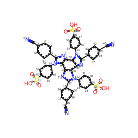 N#Cc1ccc(-c2nc3c(c4nc(-c5ccc(C#N)cc5)n(-c5ccc(S(=O)(=O)O)cc5)c4c4nc(-c5ccc(C#N)cc5)n(-c5ccc(S(=O)(=O)O)cc5)c34)n2-c2ccc(S(=O)(=O)O)cc2)cc1